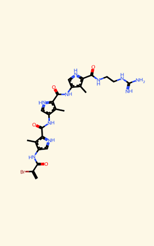 C=C(Br)C(=O)Nc1c[nH]c(C(=O)Nc2c[nH]c(C(=O)Nc3c[nH]c(C(=O)NCCNC(=N)N)c3C)c2C)c1C